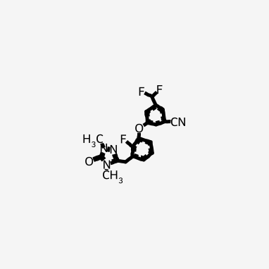 Cn1nc(Cc2cccc(Oc3cc(C#N)cc(C(F)F)c3)c2F)n(C)c1=O